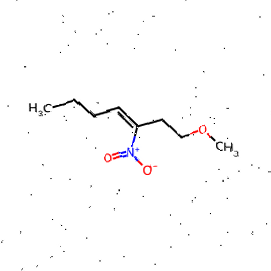 CCCC=C(CCOC)[N+](=O)[O-]